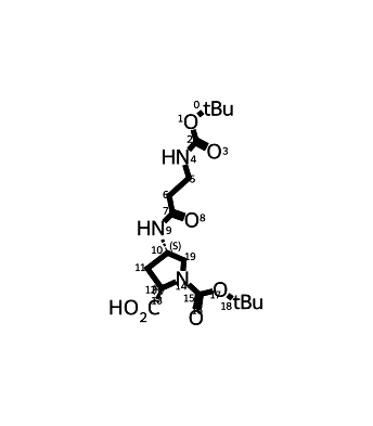 CC(C)(C)OC(=O)NCCC(=O)N[C@H]1C[C@H](C(=O)O)N(C(=O)OC(C)(C)C)C1